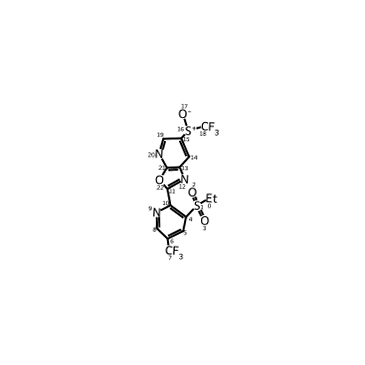 CCS(=O)(=O)c1cc(C(F)(F)F)cnc1-c1nc2cc([S+]([O-])C(F)(F)F)cnc2o1